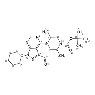 CC1CN(c2ncnc3c2c(C=O)cn3C2CCCCC2)C(C)CN1C(=O)OC(C)(C)C